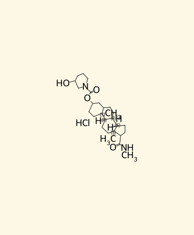 CNC(=O)C1CC[C@H]2[C@@H]3CCC4CC(OC(=O)N5CCCC(O)C5)CC[C@]4(C)[C@@H]3CC[C@]12C.Cl